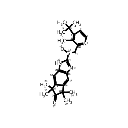 Cc1c(C(C)(C)C)ccnc1C[S+]([O-])c1nc2cc3c(cc2[nH]1)C(C)(C)C(=O)C3(C)C